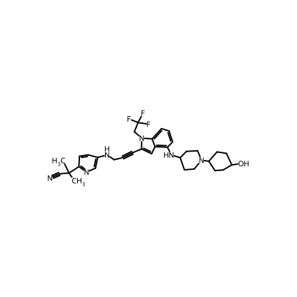 CC(C)(C#N)c1ccc(NCC#Cc2cc3c(NC4CCN(C5CCC(O)CC5)CC4)cccc3n2CC(F)(F)F)cn1